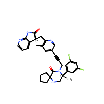 C[C@@]1(c2cc(F)cc(F)c2)CNC2(CCCC2)C(=O)N1CC#Cc1cnc2c(c1)C[C@@]1(C2)C(=O)Nc2ncccc21